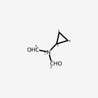 O=CN(C=O)C1CC1